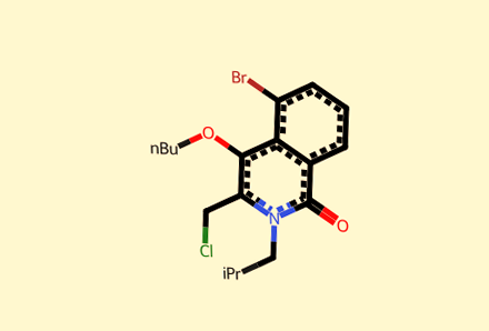 CCCCOc1c(CCl)n(CC(C)C)c(=O)c2cccc(Br)c12